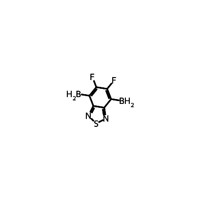 Bc1c(F)c(F)c(B)c2nsnc12